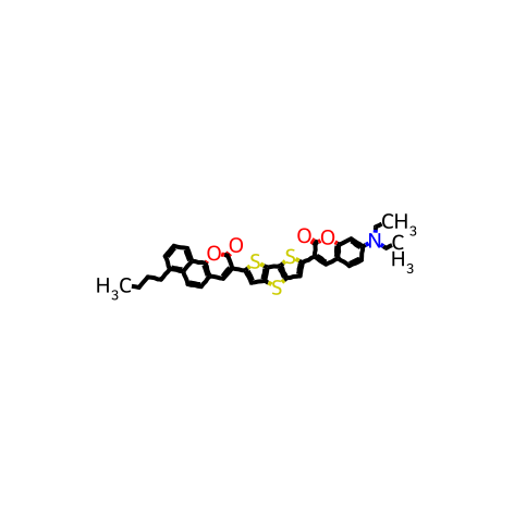 CCCCc1cccc2c1ccc1cc(-c3cc4sc5cc(-c6cc7ccc(N(CC)CC)cc7oc6=O)sc5c4s3)c(=O)oc12